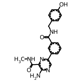 CNC(=O)c1nc(-c2cccc(C(=O)NCc3ccc(O)cc3)c2)cnc1N